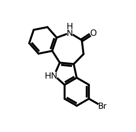 O=C1Cc2c([nH]c3ccc(Br)cc23)C2=C(CCC=C2)N1